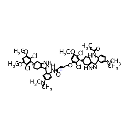 C=CC(=O)Nc1ccc(N(C)C)cc1-c1n[nH]c2c1CC[C@H](c1c(Cl)c(OC)cc(OC/C=C/C(=O)Nc3ccc(N(C)C)cc3-c3n[nH]c4c3CC[C@@H](c3c(Cl)c(OC)cc(OC)c3Cl)C4)c1Cl)C2